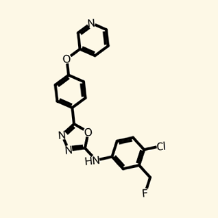 FCc1cc(Nc2nnc(-c3ccc(Oc4cccnc4)cc3)o2)ccc1Cl